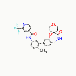 Cc1ccc(NC(=O)c2ccnc(C(F)(F)F)c2)cc1-c1ccc2c(c1)OC1(CCOCC1)C(=O)NC2